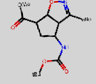 CCCCC1=NOC2C(C(=O)OC)CC(NC(=O)OC(C)(C)C)C12